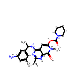 Cc1nc(NC(C)c2cc(N)cc(C(F)(F)F)c2)c2cc(OC(=O)N3CCCCC3)n(C)c(=O)c2n1